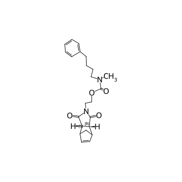 CN(CCCCc1ccccc1)C(=O)OCCN1C(=O)[C@@H]2C3C=CC(C3)[C@@H]2C1=O